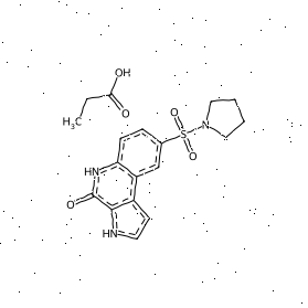 CCC(=O)O.O=c1[nH]c2ccc(S(=O)(=O)N3CCCC3)cc2c2cc[nH]c12